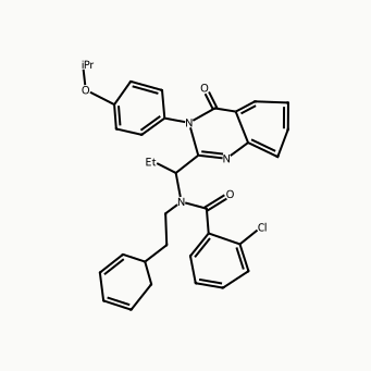 CCC(c1nc2ccccc2c(=O)n1-c1ccc(OC(C)C)cc1)N(CCC1C=CC=CC1)C(=O)c1ccccc1Cl